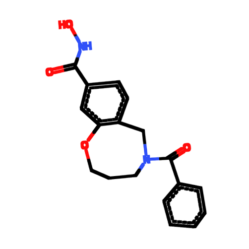 O=C(NO)c1ccc2c(c1)OCCCN(C(=O)c1ccccc1)C2